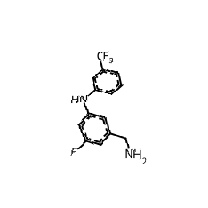 NCc1cc(F)cc(Nc2cccc(C(F)(F)F)c2)c1